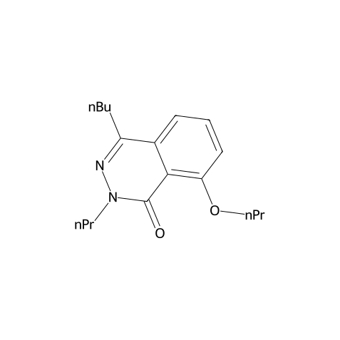 CCCCc1nn(CCC)c(=O)c2c(OCCC)cccc12